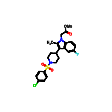 COC(=O)Cn1c(C)c(C2CCN(S(=O)(=O)c3ccc(Cl)cc3)CC2)c2cc(F)ccc21